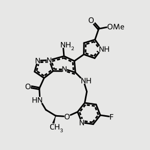 COC(=O)c1cc(-c2c3nc4c(cnn4c2N)C(=O)NC[C@H](C)Oc2ncc(F)cc2CN3)c[nH]1